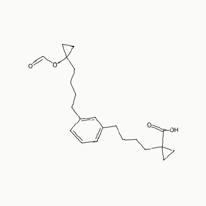 O=COC1(CCCCc2cccc(CCCCC3(C(=O)O)CC3)c2)CC1